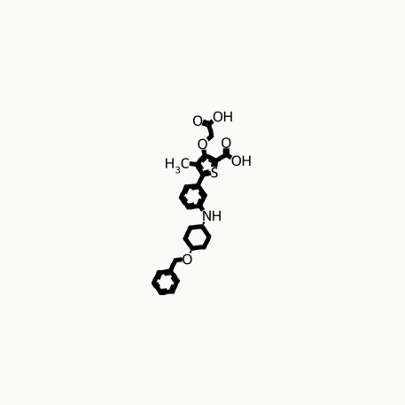 Cc1c(-c2cccc(N[C@H]3CC[C@@H](OCc4ccccc4)CC3)c2)sc(C(=O)O)c1OCC(=O)O